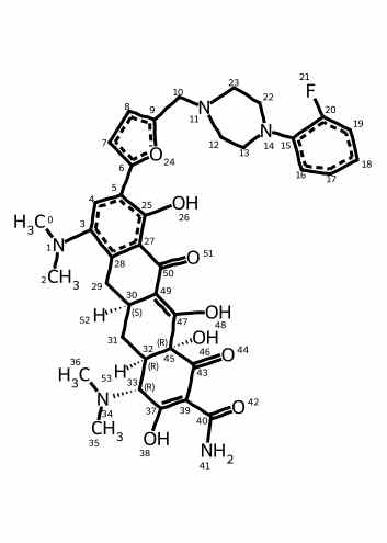 CN(C)c1cc(-c2ccc(CN3CCN(c4ccccc4F)CC3)o2)c(O)c2c1C[C@@H]1C[C@@H]3[C@@H](N(C)C)C(O)=C(C(N)=O)C(=O)[C@]3(O)C(O)=C1C2=O